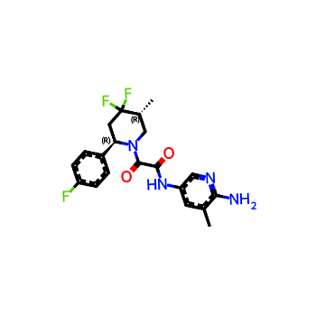 Cc1cc(NC(=O)C(=O)N2C[C@@H](C)C(F)(F)C[C@@H]2c2ccc(F)cc2)cnc1N